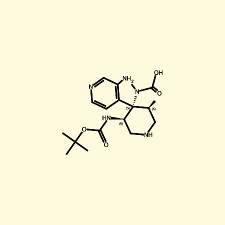 C[C@H]1CNC[C@@H](NC(=O)OC(C)(C)C)[C@]1(c1ccncc1N)N(C)C(=O)O